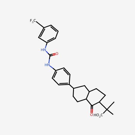 CC(C)(C(=O)O)C1CCC2CC(c3ccc(NC(=O)Nc4cccc(C(F)(F)F)c4)cc3)CCC2C1=O